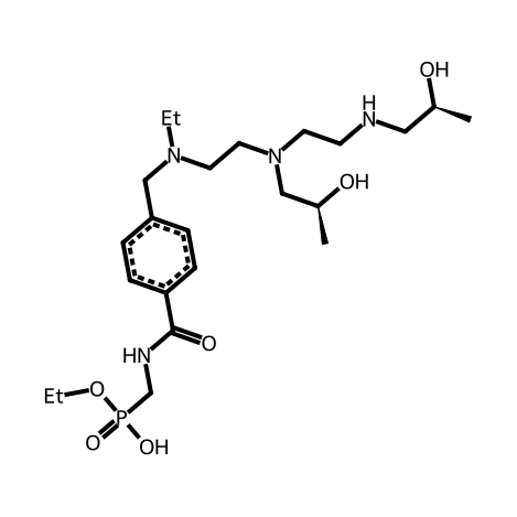 CCOP(=O)(O)CNC(=O)c1ccc(CN(CC)CCN(CCNC[C@H](C)O)C[C@H](C)O)cc1